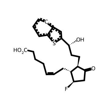 O=C(O)CCC/C=C\C[C@H]1[C@H](F)CC(=O)[C@@H]1CC[C@@H](O)c1cc2ccccc2s1